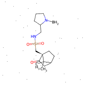 BN1CCCC1CNS(=O)(=O)C[C@]12CCC(CC1=O)C2(C)C